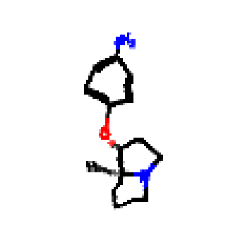 Nc1ccc(O[C@@H]2CCN3CCC[C@@H]23)cc1